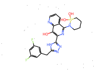 Oc1c(-c2nnc(Cc3cc(F)cc(F)c3)[nH]2)nc(N2CCCCS2(O)O)c2cccnc12